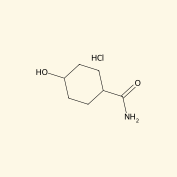 Cl.NC(=O)C1CCC(O)CC1